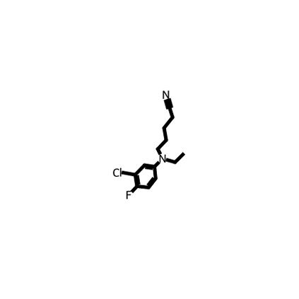 CCN(CCCCC#N)c1ccc(F)c(Cl)c1